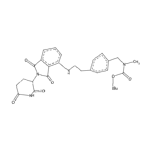 CN(Cc1ccc(CCNc2cccc3c2C(=O)N(C2CCC(=O)NC2=O)C3=O)cc1)C(=O)OC(C)(C)C